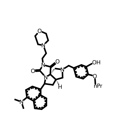 CCCOc1ccc(CN2C[C@H]3CC(c4ccc(N(C)C)c5ccccc45)N4C(=O)N(CCN5CCOCC5)C(=O)[C@@]34C2)cc1O